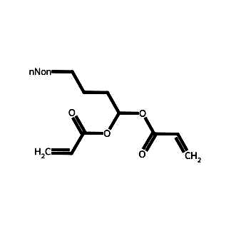 C=CC(=O)OC(CCCCCCCCCCCC)OC(=O)C=C